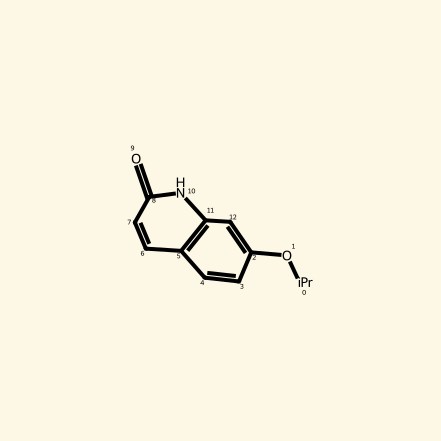 CC(C)Oc1ccc2ccc(=O)[nH]c2c1